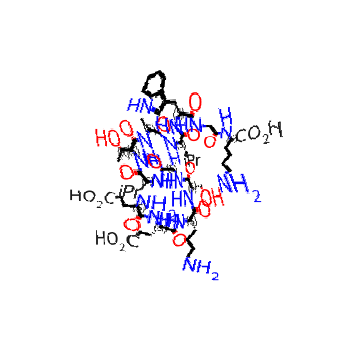 CC(C)C[C@H](NC(=O)[C@H](C)NC(=O)[C@@H](NC(=O)[C@@H](NC(=O)[C@H](C)NC(=O)[C@H](CO)NC(=O)[C@H](CCCCN)NC(=O)[C@H](CCC(=O)O)NC(=O)[C@@H](N)CCC(=O)O)C(C)C)[C@@H](C)O)C(=O)N[C@@H](Cc1c[nH]c2ccccc12)C(=O)NCC(=O)N[C@@H](CCCCN)C(=O)O